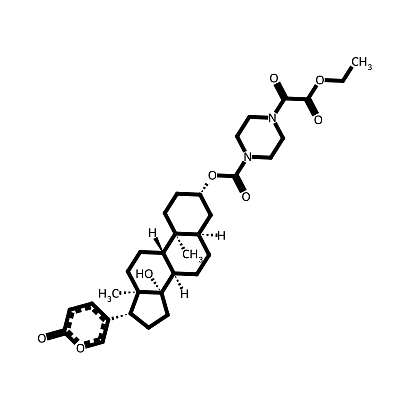 CCOC(=O)C(=O)N1CCN(C(=O)O[C@H]2CC[C@@]3(C)[C@H](CC[C@@H]4[C@@H]3CC[C@]3(C)[C@@H](c5ccc(=O)oc5)CC[C@]43O)C2)CC1